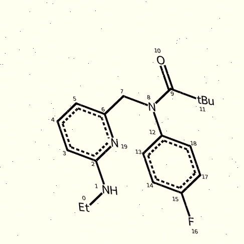 CCNc1cccc(CN(C(=O)C(C)(C)C)c2ccc(F)cc2)n1